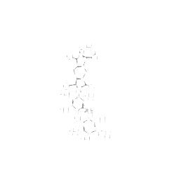 [2H]c1c([2H])c(Oc2c([2H])c([2H])c(-n3c(=O)c4cc5c(=O)n(C)c(=O)c5cc4c3=O)c([2H])c2[2H])c([2H])c([2H])c1C